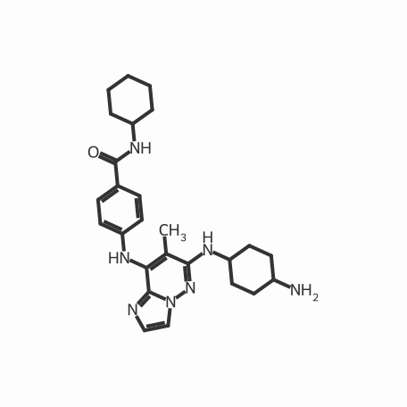 Cc1c(NC2CCC(N)CC2)nn2ccnc2c1Nc1ccc(C(=O)NC2CCCCC2)cc1